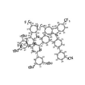 CC(C)(C)c1cc(-c2nc(-c3cc(C(C)(C)C)cc(C(C)(C)C)c3)nc(-c3cc(-c4cc(-c5cccc(C#N)c5)ccc4-n4c5ccc(C(F)(F)F)cc5c5cc(C(F)(F)F)ccc54)ccc3-n3c4ccc(C(F)(F)F)cc4c4cc(C(F)(F)F)ccc43)n2)cc(C(C)(C)C)c1